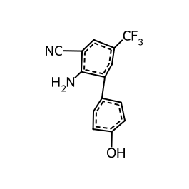 N#Cc1cc(C(F)(F)F)cc(-c2ccc(O)cc2)c1N